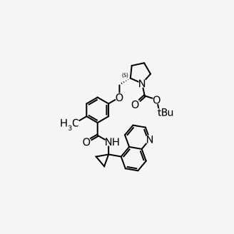 Cc1ccc(OC[C@@H]2CCCN2C(=O)OC(C)(C)C)cc1C(=O)NC1(c2cccc3ncccc23)CC1